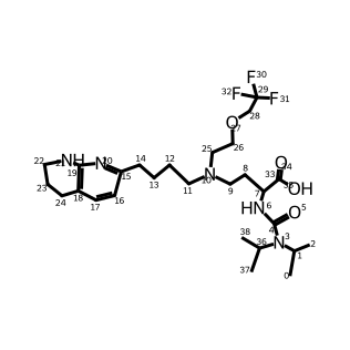 CC(C)N(C(=O)NC(CCN(CCCCc1ccc2c(n1)NCCC2)CCOCC(F)(F)F)C(=O)O)C(C)C